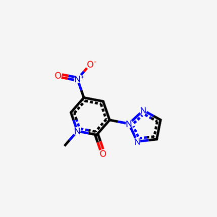 Cn1cc([N+](=O)[O-])cc(-n2nccn2)c1=O